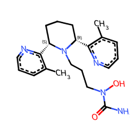 Cc1cccnc1[C@H]1CCC[C@@H](c2ncccc2C)N1CCCN(O)C(N)=O